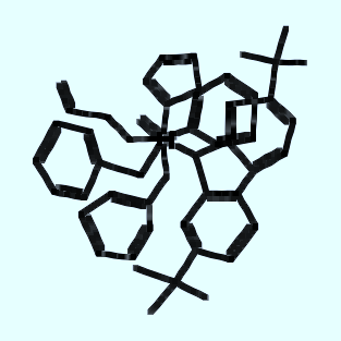 C=CC[CH2][Hf](=[CH2])([CH2]c1ccccc1)([CH2]c1ccccc1)([C]1=CC=CC1)([c]1ccccc1)[CH]1c2cc(C(C)(C)C)ccc2-c2ccc(C(C)(C)C)cc21